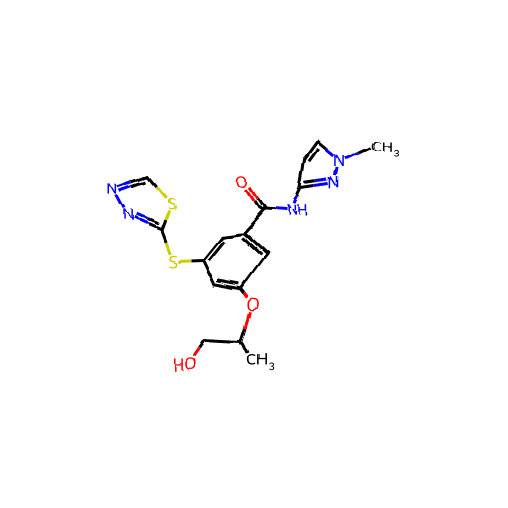 CC(CO)Oc1cc(Sc2nncs2)cc(C(=O)Nc2ccn(C)n2)c1